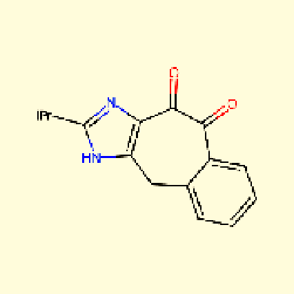 CC(C)c1nc2c([nH]1)Cc1ccccc1C(=O)C2=O